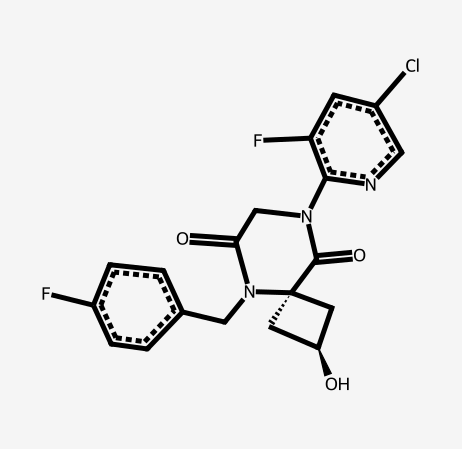 O=C1CN(c2ncc(Cl)cc2F)C(=O)[C@]2(C[C@H](O)C2)N1Cc1ccc(F)cc1